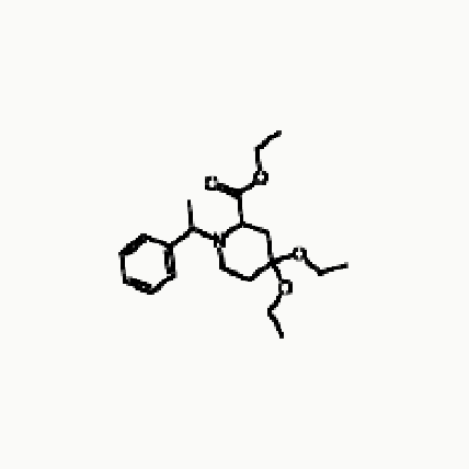 CCOC(=O)C1CC(OCC)(OCC)CCN1C(C)c1ccccc1